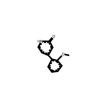 COc1ccccc1-c1[c]c(=O)[nH]cc1